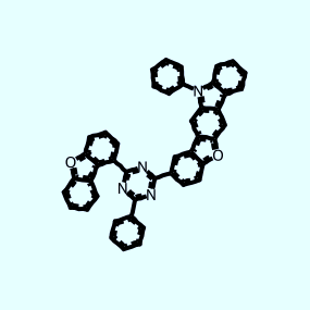 c1ccc(-c2nc(-c3ccc4oc5cc6c7ccccc7n(-c7ccccc7)c6cc5c4c3)nc(-c3cccc4oc5ccccc5c34)n2)cc1